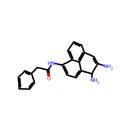 NC1=Cc2cccc3c(NC(=O)Cc4ccccc4)ccc(c23)C1N